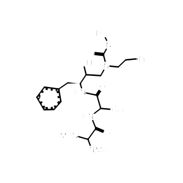 CNC(NC)C(=O)NC(C(=O)N[C@@H](Cc1ccccc1)C(O)CN(CCC(C)C)C(=O)NC(C)(C)C)C(C)(C)C